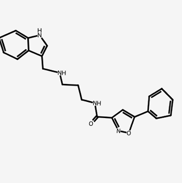 O=C(NCCCNCc1c[nH]c2ccccc12)c1cc(-c2ccccc2)on1